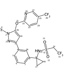 CCn1nc(-c2cccc(C3(NS(=O)(=O)CC(F)(F)F)CC3)c2)cc1Oc1ccc(C(F)(F)F)cn1